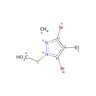 C.CCc1c(Br)nn(CC(=O)O)c1Br